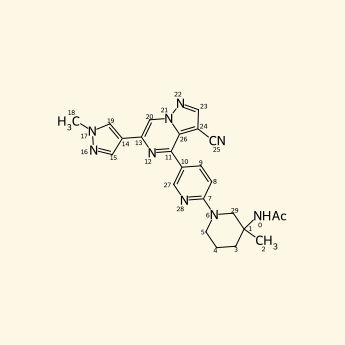 CC(=O)NC1(C)CCCN(c2ccc(-c3nc(-c4cnn(C)c4)cn4ncc(C#N)c34)cn2)C1